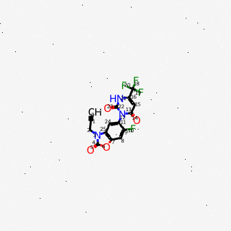 C#CCn1c(=O)oc2cc(F)c(-n3c(=O)cc(C(F)(F)F)[nH]c3=O)cc21